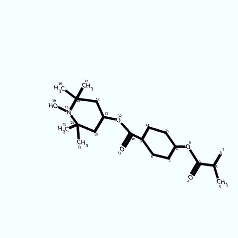 CC(I)C(=O)OC1CCC(C(=O)OC2CC(C)(C)N(O)C(C)(C)C2)CC1